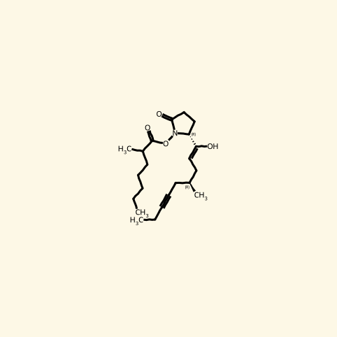 CCC#CC[C@H](C)CC=C(O)[C@H]1CCC(=O)N1OC(=O)C(C)CCCCC